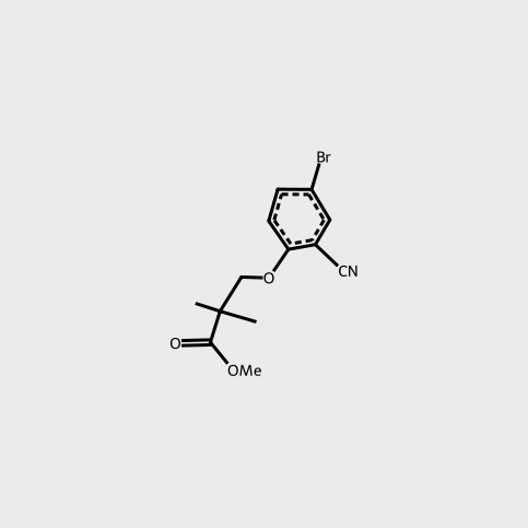 COC(=O)C(C)(C)COc1ccc(Br)cc1C#N